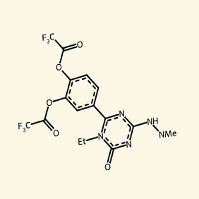 CCn1c(-c2ccc(OC(=O)C(F)(F)F)c(OC(=O)C(F)(F)F)c2)nc(NNC)nc1=O